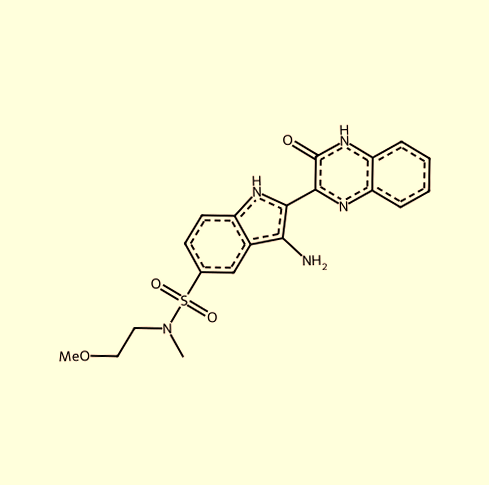 COCCN(C)S(=O)(=O)c1ccc2[nH]c(-c3nc4ccccc4[nH]c3=O)c(N)c2c1